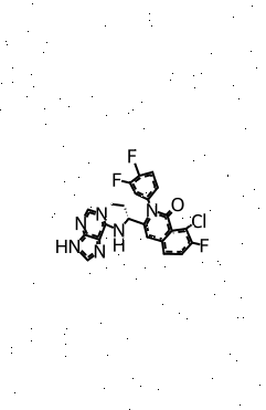 CC[C@@H](Nc1ncnc2[nH]cnc12)c1cc2ccc(F)c(Cl)c2c(=O)n1-c1ccc(F)c(F)c1